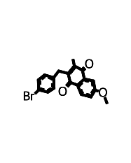 COc1ccc2c(c1)C(=O)C(C)=C(Cc1ccc(Br)cc1)C2=O